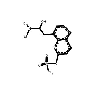 CCN(CC)C(O)Cc1cccc2ccc(OS(=O)(=O)C(F)(F)F)nc12